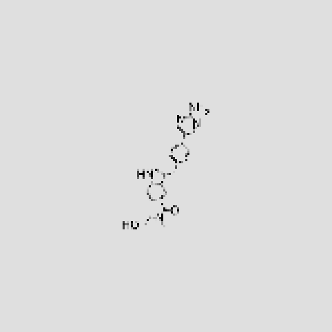 CN(CCO)C(=O)c1ccc2[nH]cc(Cc3ccc(-c4cnc(N)nc4)cc3)c2c1